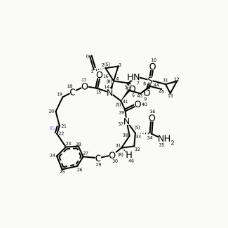 C=C[C@@H]1C[C@@]1(C(=O)NS(=O)(=O)C1CC1)N1C(=O)OCCC/C=C/c2cccc(c2)CO[C@@H]2C[C@@H](C(N)=O)N(C2)C(=O)[C@@H]1CCCC